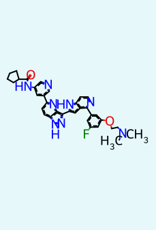 CN(C)CCOc1cc(F)cc(-c2nccc3[nH]c(-c4n[nH]c5ccc(-c6cncc(NC(=O)C7CCCC7)c6)nc45)cc23)c1